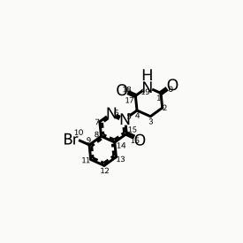 O=C1CCC(n2ncc3c(Br)cccc3c2=O)C(=O)N1